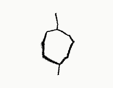 C[C]1CCC[C](C)CCC1